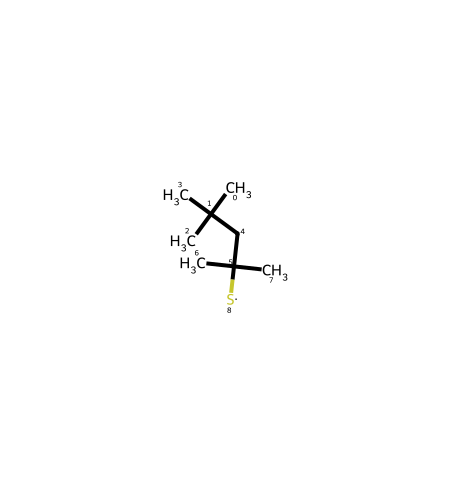 CC(C)(C)CC(C)(C)[S]